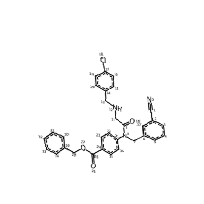 N#Cc1cccc(CN(C(=O)CNCc2ccc(Cl)cc2)c2ccc(C(=O)OCc3ccccc3)cc2)c1